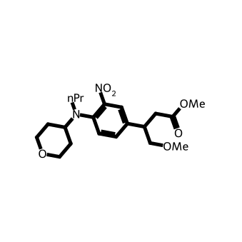 CCCN(c1ccc(C(COC)CC(=O)OC)cc1[N+](=O)[O-])C1CCOCC1